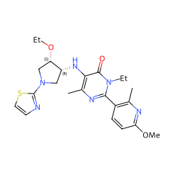 CCO[C@H]1CN(c2nccs2)C[C@H]1Nc1c(C)nc(-c2ccc(OC)nc2C)n(CC)c1=O